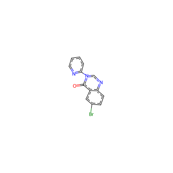 O=c1c2cc(Br)ccc2ncn1-c1ccccn1